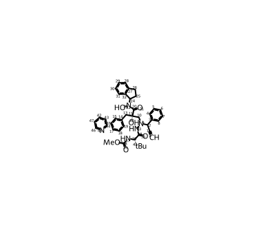 C#CC(c1ccccc1)N(C[C@@](O)(Cc1ccccc1)C(=O)N(O)C1CCc2ccccc21)NC(=O)[C@@H](NC(=O)OC)C(C)(C)C.c1ccncc1